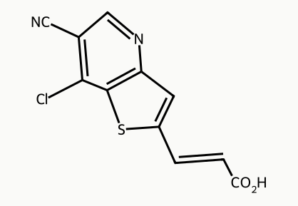 N#Cc1cnc2cc(/C=C/C(=O)O)sc2c1Cl